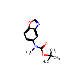 CN(C(=O)OC(C)(C)C)c1ccc2ocnc2c1